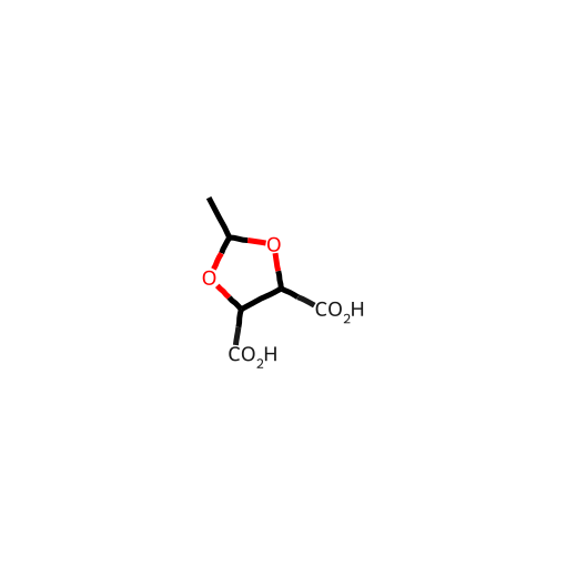 CC1OC(C(=O)O)C(C(=O)O)O1